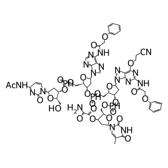 CC(=O)Nc1ccn([C@H]2C[C@@H](O[PH](=O)OC[C@H]3O[C@@H](n4cnc5c(NC(=O)COc6ccccc6)ncnc54)C[C@H]3O[PH](=O)OC[C@H]3O[C@@H](n4cnc5c(OCCC#N)nc(NC(=O)COc6ccccc6)nc54)C[C@H]3O[PH](=O)OC[C@H]3O[C@@H](n4cc(C)c(=O)[nH]c4=O)C[C@H]3OC(=O)C(N)=O)[C@@H](CO)O2)c(=O)n1